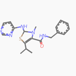 CC(C)C1=C(C(=O)NCc2ccccc2)N(C)C(Nc2ccncn2)S1